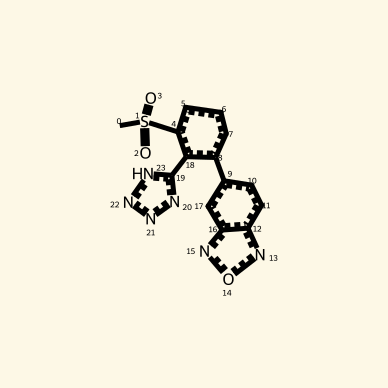 CS(=O)(=O)c1cccc(-c2ccc3nonc3c2)c1-c1nnn[nH]1